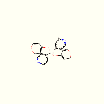 C1=CC(O[Si](OC2=CCOC=C2)(c2ccncc2)c2ccncc2)=CCO1